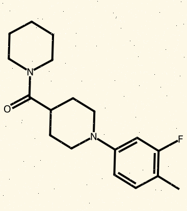 Cc1ccc(N2CCC(C(=O)N3CCCCC3)CC2)cc1F